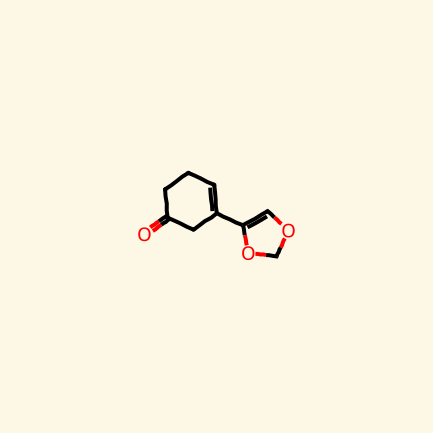 O=C1CCC=C(C2=COCO2)C1